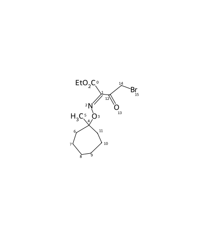 CCOC(=O)/C(=N/OC1(C)CCCCCC1)C(=O)CBr